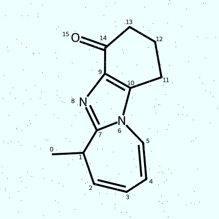 CC1C=CC=Cn2c1nc1c2CCCC1=O